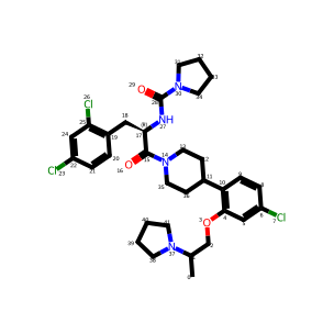 CC(COc1cc(Cl)ccc1C1CCN(C(=O)[C@@H](Cc2ccc(Cl)cc2Cl)NC(=O)N2CCCC2)CC1)N1CCCC1